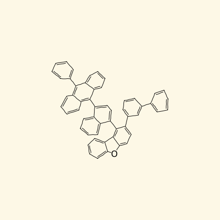 c1ccc(-c2cccc(-c3ccc4oc5ccccc5c4c3-c3ccc(-c4c5ccccc5c(-c5ccccc5)c5ccccc45)c4ccccc34)c2)cc1